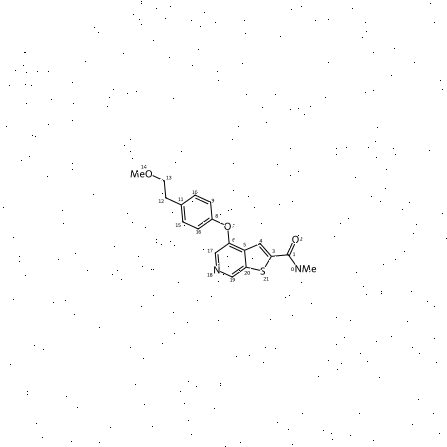 CNC(=O)c1cc2c(Oc3ccc(CCOC)cc3)cncc2s1